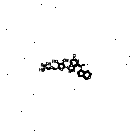 CN(c1nc(Cl)nc2c1nnn2[C@@H]1O[C@H](COCP(=O)(O)O)[C@@H](O)[C@H]1O)[C@H]1CCc2ccccc21